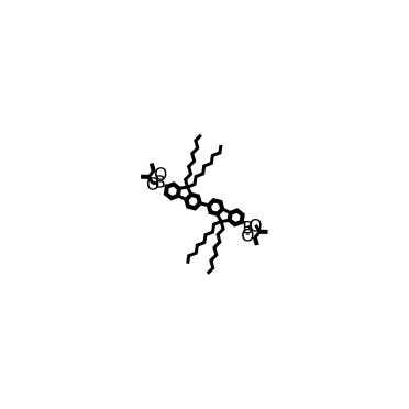 C=C1OB(c2ccc3c(c2)C(CCCCCCCC)(CCCCCCCC)c2cc(-c4ccc5c(c4)C(CCCCCCCC)(CCCCCCCC)c4cc(B6OC(=C)C(=C)O6)ccc4-5)ccc2-3)OC1=C